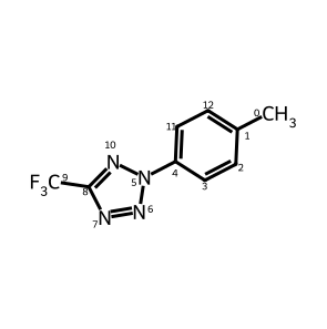 Cc1ccc(-n2nnc(C(F)(F)F)n2)cc1